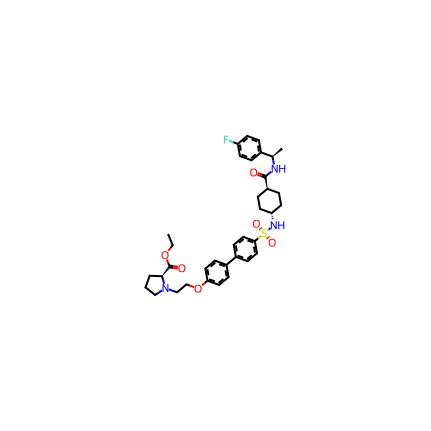 CCOC(=O)[C@@H]1CCCN1CCOc1ccc(-c2ccc(S(=O)(=O)N[C@H]3CC[C@H](C(=O)N[C@H](C)c4ccc(F)cc4)CC3)cc2)cc1